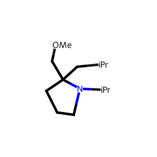 COCC1(CC(C)C)CCCN1C(C)C